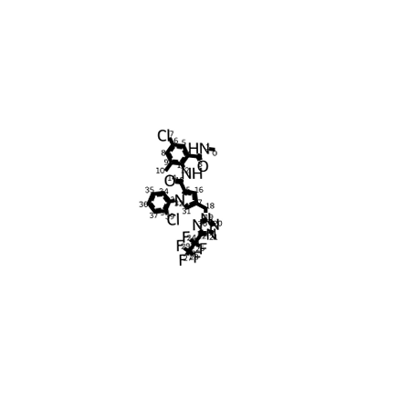 CNC(=O)c1cc(Cl)cc(C)c1NC(=O)c1cc(Cn2nnc(C(F)(F)C(F)(F)F)n2)cn1-c1ccccc1Cl